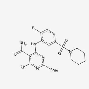 CSc1nc(Cl)c(C(N)=O)c(Nc2cc(S(=O)(=O)N3CCCCC3)ccc2F)n1